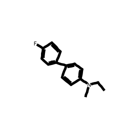 CCN(C)c1ccc(-c2ccc(F)cc2)cc1